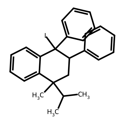 CC(C)C1(C)CC(c2ccccc2)C(I)(c2ccccc2)c2ccccc21